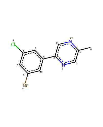 Cc1cnc(-c2cc(Cl)cc(Br)c2)cn1